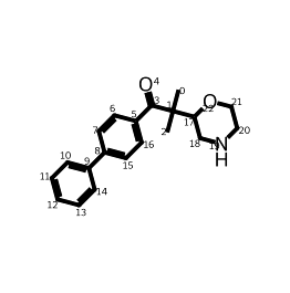 CC(C)(C(=O)c1ccc(-c2ccccc2)cc1)C1CNCCO1